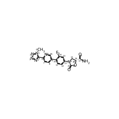 Cn1nnnc1-c1ccc(-c2ccc(N3C[C@H](C(N)=O)OC3=O)cc2F)cn1